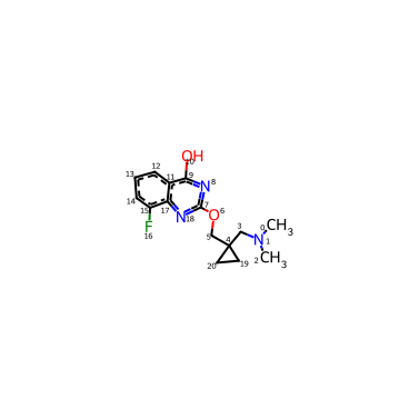 CN(C)CC1(COc2nc(O)c3cccc(F)c3n2)CC1